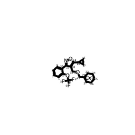 FC(F)(F)Oc1ccccc1-c1noc(C2CC2)c1COCC12CCC(CC1)OC2